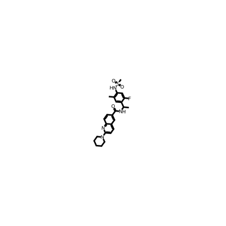 Cc1cc(C(C)NC(=O)c2ccc3nc(N4CCCCC4)ccc3c2)c(F)cc1NS(C)(=O)=O